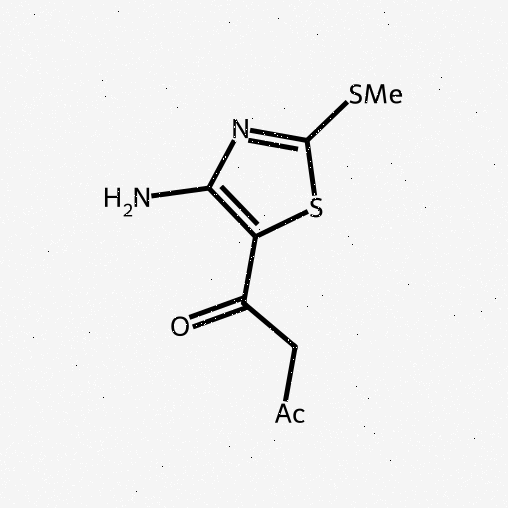 CSc1nc(N)c(C(=O)CC(C)=O)s1